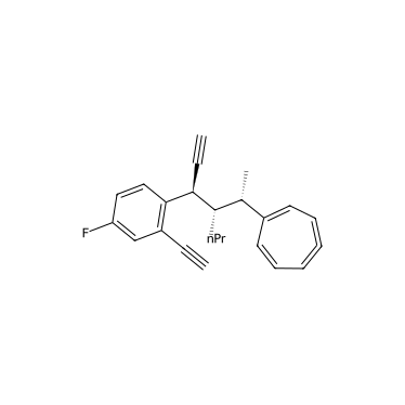 C#Cc1cc(F)ccc1[C@@H](C#C)[C@@H](CCC)[C@H](C)C1=CC=C=CC=C1